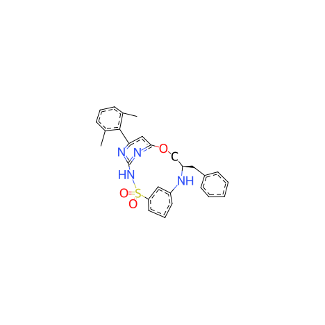 Cc1cccc(C)c1-c1cc2nc(n1)NS(=O)(=O)c1cccc(c1)N[C@H](Cc1ccccc1)CO2